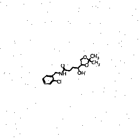 CC1(C)OC[C@H]([C@@H](O)CCC(=O)NCc2ccccc2Cl)O1